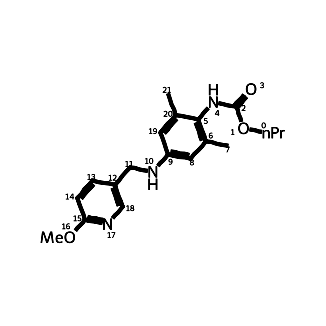 CCCOC(=O)Nc1c(C)cc(NCc2ccc(OC)nc2)cc1C